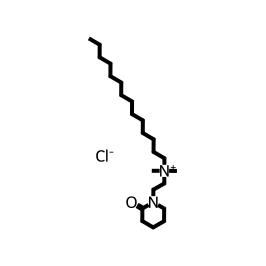 CCCCCCCCCCCCCC[N+](C)(C)CCN1CCCCC1=O.[Cl-]